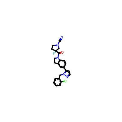 N#CN1CCC(F)(C(=O)N2CCc3cc(-c4ccnn4Cc4ccccc4Cl)ccc32)C1